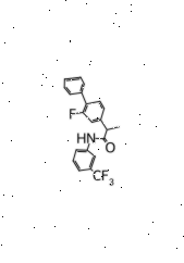 CC(C(=O)Nc1cccc(C(F)(F)F)c1)c1ccc(-c2ccccc2)c(F)c1